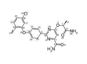 C[C@H](Oc1cc(C(N)=O)nc(C2C=CC(Oc3cc(Cl)ccc3F)=CC2)n1)C(N)=O